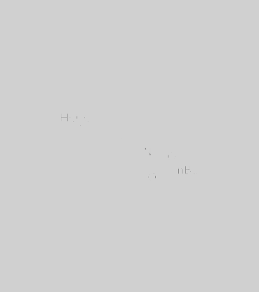 CCCCOC(=O)N1Cc2ccc(C(=O)O)cc2C1